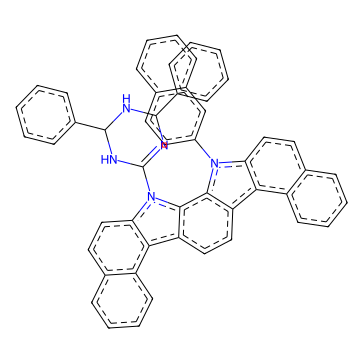 c1ccc(C2N=C(n3c4ccc5ccccc5c4c4ccc5c6c7ccccc7ccc6n(-c6ccc7ccccc7c6)c5c43)NC(c3ccccc3)N2)cc1